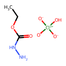 CCOC(=O)NN.[O-][Cl+3]([O-])([O-])O